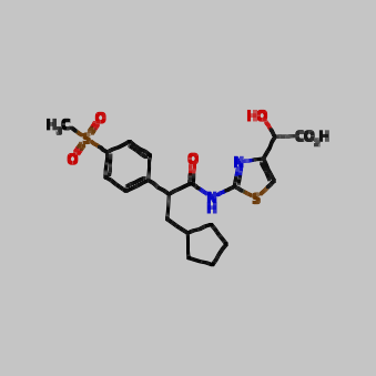 CS(=O)(=O)c1ccc(C(CC2CCCC2)C(=O)Nc2nc(C(O)C(=O)O)cs2)cc1